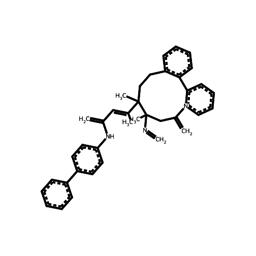 C=NC1(C)CC(=C)[n+]2ccccc2-c2ccccc2CCC1(C)/C(C)=C/C(=C)Nc1ccc(-c2ccccc2)cc1